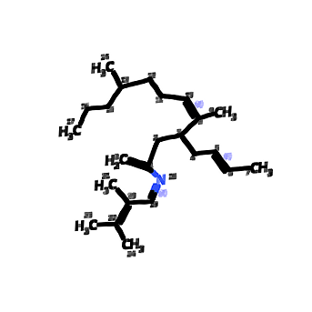 C=C(CC(C/C=C/C)/C(C)=C\CCC(C)CCC)/N=C\C(C)=C(C)C